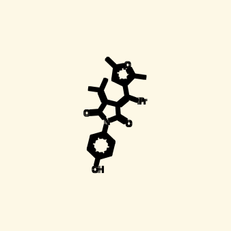 CC(C)=C1C(=O)N(c2ccc(O)cc2)C(=O)/C1=C(/c1cc(C)oc1C)C(C)C